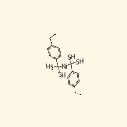 CCc1ccc([C](S)(S)[Ni][C](S)(S)c2ccc(CC)cc2)cc1